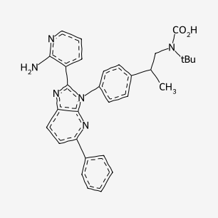 CC(CN(C(=O)O)C(C)(C)C)c1ccc(-n2c(-c3cccnc3N)nc3ccc(-c4ccccc4)nc32)cc1